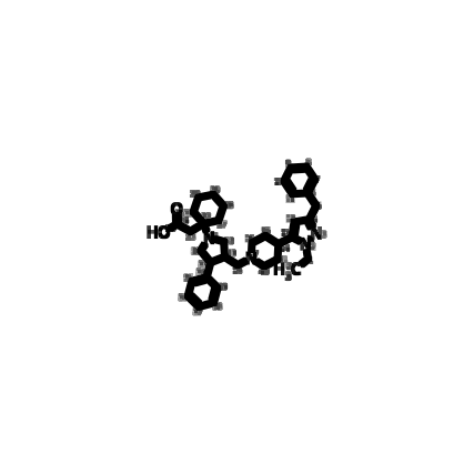 CCn1nc(Cc2ccccc2)cc1C1CCN(CC2CN(C3(CC(=O)O)CCCCC3)CC2c2ccccc2)CC1